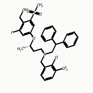 C[C@@H](CCN(Cc1cccc(C(F)(F)F)c1Cl)CC(c1ccccc1)c1ccccc1)Oc1cc(F)c(CO)c(S(C)(=O)=O)c1